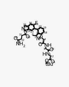 Cc1nn(CC(=O)NCC(=O)NCC(=O)OC(C)(C)C)c2cccc(-c3cc4c(cnn4C(=O)CCC(N)=O)cc3F)c12